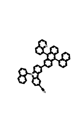 N#Cc1ccc2c(c1)c1cc(-c3ccc4c(-c5cccc6ccccc56)c5ccccc5c(-c5cccc6cccnc56)c4c3)ccc1n2-c1cccc2ccccc12